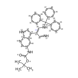 CC(C)(C)OC(=O)Nc1cnc2[nH]cc(/C(C=N)=C/NC(c3ccccc3)(c3ccccc3)c3ccccc3)c2c1